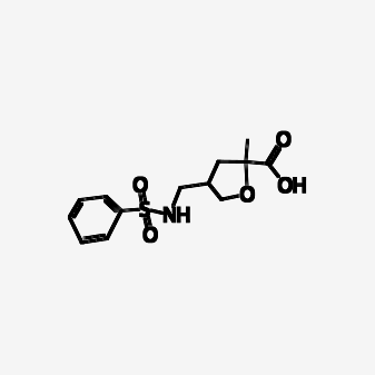 CC1(C(=O)O)CC(CNS(=O)(=O)c2ccccc2)CO1